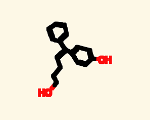 OCCCC=C(c1ccccc1)c1ccc(O)cc1